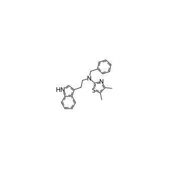 Cc1nc(N(CCc2c[nH]c3ccccc23)Cc2ccccc2)sc1C